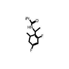 CC(C)C(=O)NC(C)C1=C(F)C=C(F)CC1C